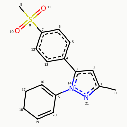 Cc1cc(-c2ccc(S(C)(=O)=O)cc2)n(C2=CCCC=C2)n1